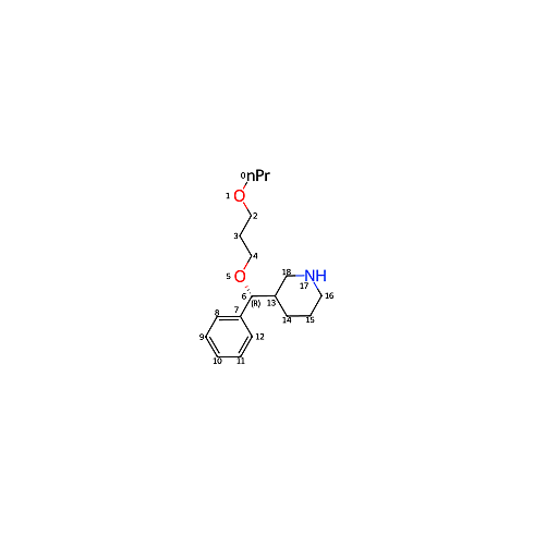 CCCOCCCO[C@@H](c1ccccc1)C1CCCNC1